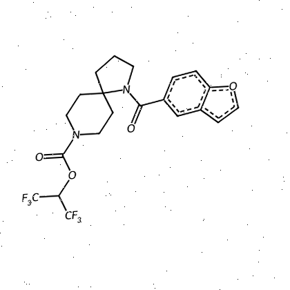 O=C(OC(C(F)(F)F)C(F)(F)F)N1CCC2(CCCN2C(=O)c2ccc3occc3c2)CC1